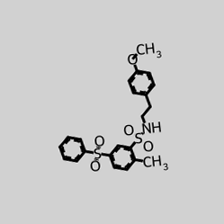 COc1ccc(CCNS(=O)(=O)c2cc(S(=O)(=O)c3ccccc3)ccc2C)cc1